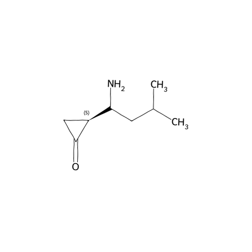 CC(C)CC(N)[C@@H]1CC1=O